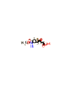 COC(=O)NC1CCc2sc(C(=O)CCC(=O)O)cc2C1